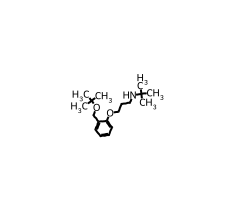 CC(C)(C)NCCCOc1ccccc1COC(C)(C)C